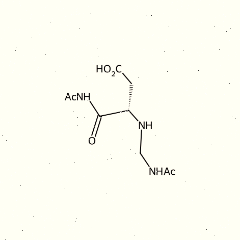 CC(=O)NCN[C@@H](CC(=O)O)C(=O)NC(C)=O